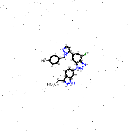 N#Cc1ccc(Cn2nccc2-c2cc(F)c3nnn(-c4ccc5c(CC(=O)O)n[nH]c5c4)c3c2)cc1